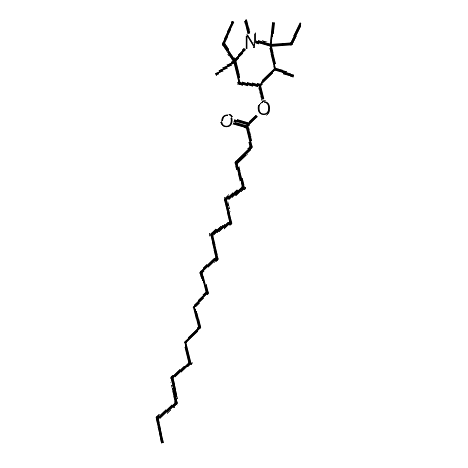 CCCCCCCCCCCCCCCCCC(=O)OC1CC(C)(CC)N(C)C(C)(CC)C1C